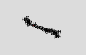 O=C1CCC(N2C(=O)c3cccc(NCCOCCOCCOCCOCCOCCNC(=O)c4nc5cc(N6CCC(O)(C(O)NCc7cc(F)cc(F)c7)C6=O)ccc5[nH]4)c3C2=O)C(=O)N1